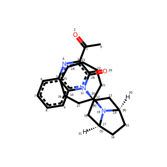 CC(=O)c1nc2ccccc2n([C@H]2C[C@H]3CC[C@@H](C2)N3C2CCCCCCC2)c1=O